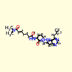 CN(C)C(=O)/C=C/CCCC(=O)Nc1cccn(Cc2cc3ncnc(CCC(F)(F)F)c3[nH]2)c1=O